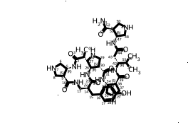 CCC(=O)N[C@H]1CNC[C@@H]1C(=O)NC[C@H](Cc1ccc(O)cc1)C(=O)N[C@H]1CNC[C@@H]1C(=O)N[C@H]1CNC[C@@H]1C(=O)N[C@H](CC(=O)N[C@H]1CNC[C@@H]1C(N)=O)C(C)C